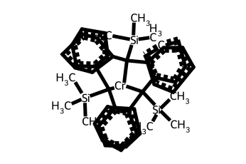 C[Si](C)(C)[C](c1ccccc1)(c1ccccc1)[Cr]([C](c1ccccc1)(c1ccccc1)[Si](C)(C)C)[C](c1ccccc1)(c1ccccc1)[Si](C)(C)C